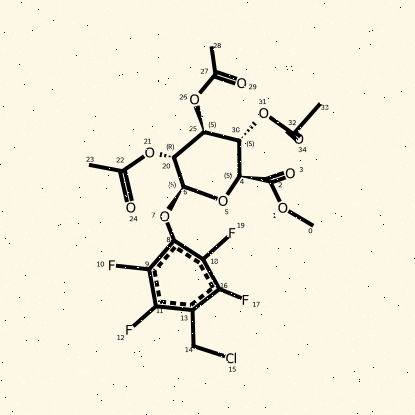 COC(=O)[C@H]1O[C@@H](Oc2c(F)c(F)c(CCl)c(F)c2F)[C@H](OC(C)=O)[C@@H](OC(C)=O)[C@@H]1OC(C)=O